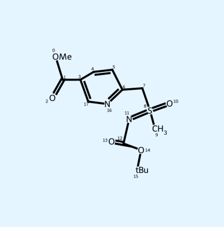 COC(=O)c1ccc(CS(C)(=O)=NC(=O)OC(C)(C)C)nc1